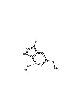 Cl.Cl.NCc1cnc2[nH]cc(Cl)c2c1